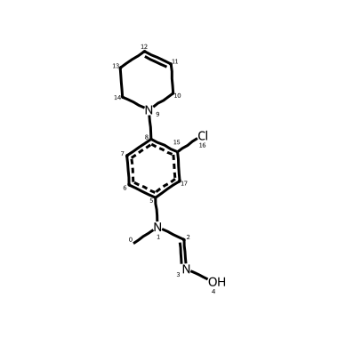 CN(/C=N/O)c1ccc(N2CC=CCC2)c(Cl)c1